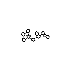 c1ccc(-c2nc(-c3cccc(-c4ccc(-c5cccc6c5sc5ccccc56)c5ccccc45)c3)nc(-c3ccccc3-c3ccccc3)n2)cc1